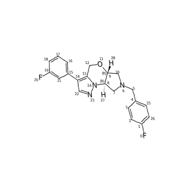 Fc1ccc(CN2C[C@@H]3[C@@H](C2)OCc2c(-c4cccc(F)c4)cnn23)cc1